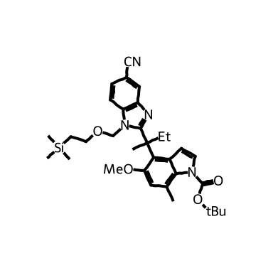 CCC(C)(c1c(OC)cc(C)c2c1ccn2C(=O)OC(C)(C)C)c1nc2cc(C#N)ccc2n1COCC[Si](C)(C)C